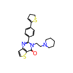 O=c1c2sccc2nc(-c2ccc(C3=CCCS3)cc2)n1CCN1CCCCC1